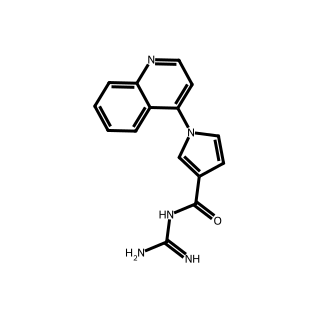 N=C(N)NC(=O)c1ccn(-c2ccnc3ccccc23)c1